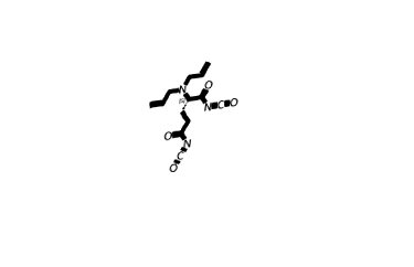 C=CCN(CC=C)[C@@H](CCC(=O)N=C=O)C(=O)N=C=O